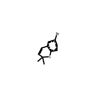 CC1(C)C=Cc2cc(Br)ccc2S1